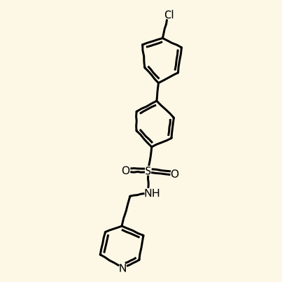 O=S(=O)(NCc1ccncc1)c1ccc(-c2ccc(Cl)cc2)cc1